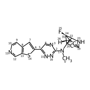 CN(c1ncc(-c2cc3ccncc3s2)nn1)[C@H]1CC2CC3C(N2)[C@@]31F